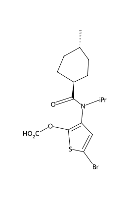 CC(C)N(c1cc(Br)sc1OC(=O)O)C(=O)[C@H]1CC[C@H](C)CC1